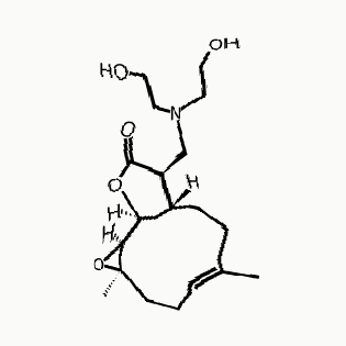 C/C1=C\CC[C@@]2(C)O[C@H]2[C@H]2OC(=O)[C@@H](CN(CCO)CCO)[C@@H]2CC1